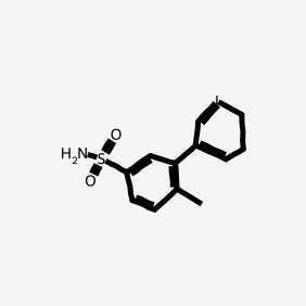 Cc1ccc(S(N)(=O)=O)cc1C1=CCCI=C1